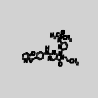 C=CCn1c(=O)c2cnc(Nc3ccc([C@H]4C[C@@]45C(=O)C4CCN5CC4)cc3)nc2n1-c1cccc(N=S(C)(C)=O)n1